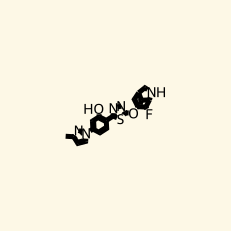 Cc1ccn(-c2ccc(-c3nnc(OC4CC5CNC(C5F)C4F)s3)c(O)c2)n1